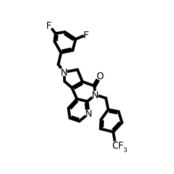 O=c1c2c(c3cccnc3n1Cc1ccc(C(F)(F)F)cc1)CN(Cc1cc(F)cc(F)c1)C2